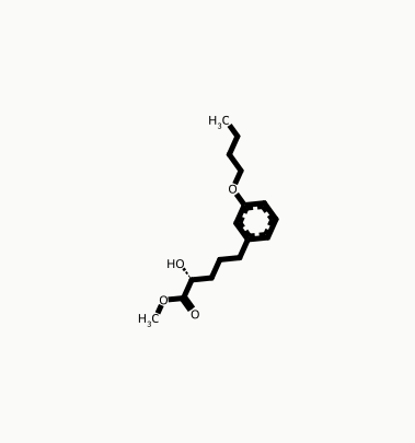 CCCCOc1cccc(CCC[C@@H](O)C(=O)OC)c1